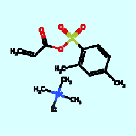 C=CC(=O)OS(=O)(=O)c1ccc(C)cc1C.CC[N+](C)(C)C